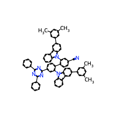 Cc1cc(C)cc(-c2ccc3c(c2)c2ccccc2n3-c2cc(C#N)ccc2-c2ccc(-c3nc(-c4ccccc4)nc(-c4ccccc4)n3)cc2-n2c3ccccc3c3cc(-c4cc(C)cc(C)c4)ccc32)c1